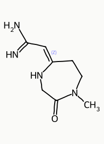 CN1CC/C(=C/C(=N)N)NCC1=O